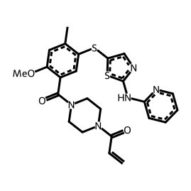 C=CC(=O)N1CCN(C(=O)c2cc(Sc3cnc(Nc4ccccn4)s3)c(C)cc2OC)CC1